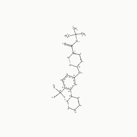 CC(C)(C)OC(=O)N1CCC(Oc2ccc(C(F)(F)F)c(N3CCOCC3)c2)CC1